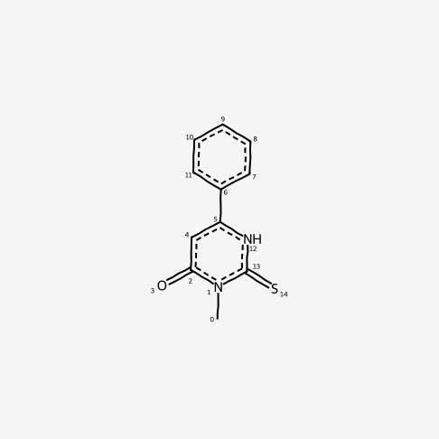 Cn1c(=O)cc(-c2ccccc2)[nH]c1=S